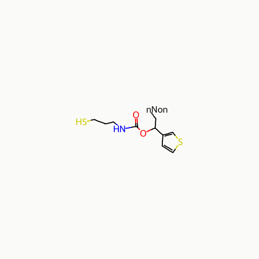 CCCCCCCCCCC(OC(=O)NCCCS)c1ccsc1